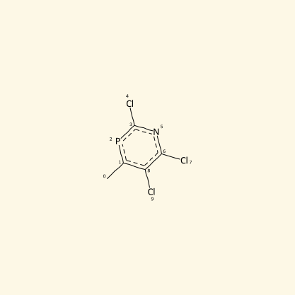 Cc1pc(Cl)nc(Cl)c1Cl